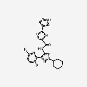 O=C(Nc1cn(C2CCCCC2)nc1-c1nc(F)ccc1F)c1coc(-c2cn[nH]c2)n1